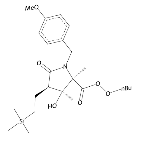 CCCCOOC(=O)[C@]1(C)N(Cc2ccc(OC)cc2)C(=O)[C@H](CC[Si](C)(C)C)[C@]1(C)O